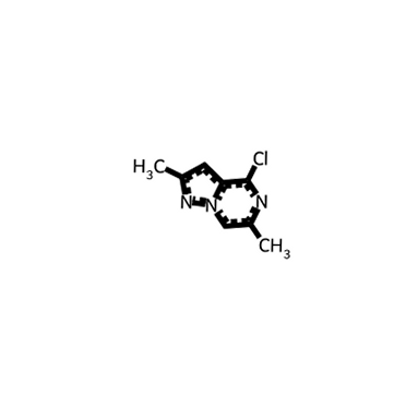 Cc1cn2nc(C)cc2c(Cl)n1